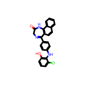 O=C1CN=C(c2ccc(Nc3c(O)cccc3Cl)cc2)c2ccc3ccccc3c2N1